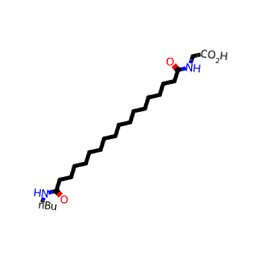 CCCCNC(=O)CCCCCCCCCCCCCCCCC(=O)NCC(=O)O